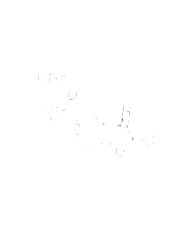 O=COC1(c2ccc3oc(=O)[nH]c3c2)CC1